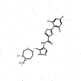 Cc1cc(F)c(-c2nc(C(=O)Nc3cn[nH]c3C[C@@H]3CC[C@@H](N)[C@H](F)CO3)cs2)c(F)c1